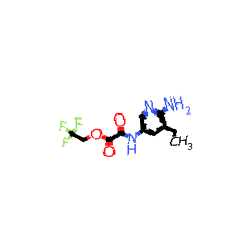 CCc1cc(NC(=O)C(=O)OCC(F)(F)F)cnc1N